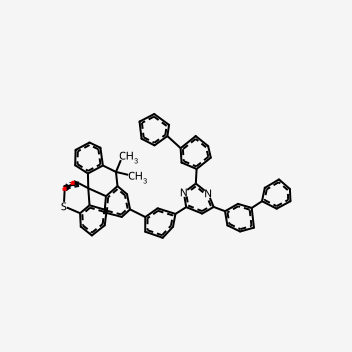 CC1(C)c2ccccc2C2(c3ccccc3Sc3ccccc32)c2ccc(-c3cccc(-c4cc(-c5cccc(-c6ccccc6)c5)nc(-c5cccc(-c6ccccc6)c5)n4)c3)cc21